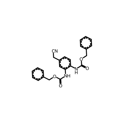 N#CCc1ccc(NC(=O)OCc2ccccc2)c(NC(=O)OCc2ccccc2)c1